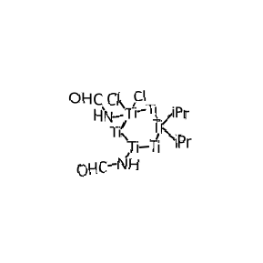 C[CH](C)[Ti]1([CH](C)C)[Ti][Ti]([NH]C=O)[Ti][Ti]([Cl])([Cl])([NH]C=O)[Ti]1